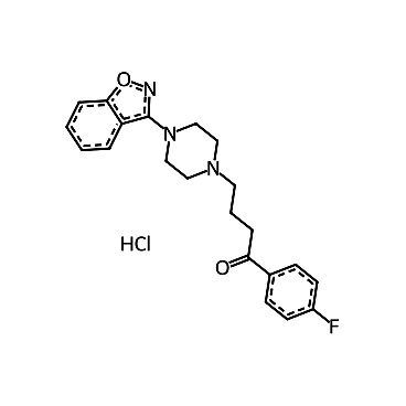 Cl.O=C(CCCN1CCN(c2noc3ccccc23)CC1)c1ccc(F)cc1